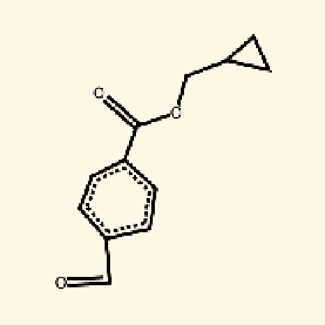 O=Cc1ccc(C(=O)OCC2CC2)cc1